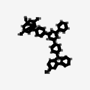 N#Cc1ccc2c(c1)c1ccccc1n2-c1ccc(-c2nc(-c3ccccc3)nc(-c3ccc(C45C[C@H]6C[C@@H](C4)C[C@@H](C5)C6)cc3)n2)cc1